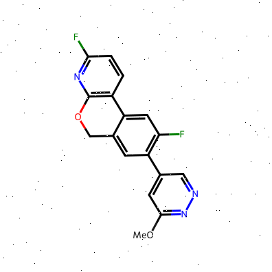 COc1cc(-c2cc3c(cc2F)-c2ccc(F)nc2OC3)cnn1